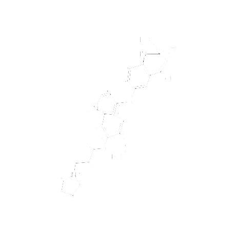 COc1cc2c(Oc3ccc4c(c3)C(C)=CC(C)(C)N4)ncnc2cc1OCCCN1CCCC1